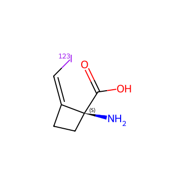 N[C@@]1(C(=O)O)CCC1=C[123I]